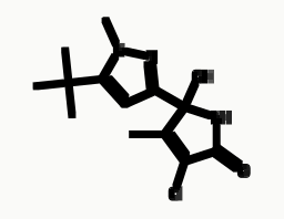 CC1=C(Cl)C(=O)NC1(O)c1cc(C(C)(C)C)n(C)n1